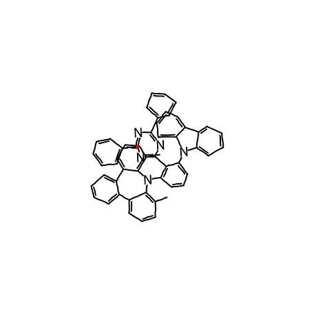 Cc1cccc2c1N(c1cccc(-n3c4ccccc4c4ccccc43)c1-c1nc(-c3ccccc3)nc(-c3ccccc3)n1)c1c(C)cccc1-c1ccccc1-2